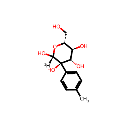 [2H][C@@]1(O)O[C@H](CO)[C@@H](O)[C@H](O)[C@]1(O)c1ccc(C)cc1